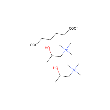 CC(O)C[N+](C)(C)C.CC(O)C[N+](C)(C)C.O=C([O-])CCCCC(=O)[O-]